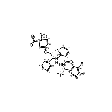 C[C@H](NC(=O)c1cccnc1N[C@@H](COc1ccc(N)c(C(=O)O)c1)c1ccccc1)c1ccc(F)c(F)c1